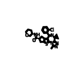 Cc1nnc2n1-c1sc3c(c1C(c1ccccc1Cl)=NC21CC1)C[C@H](C(=O)N[C@H]1CCCOC1)C3